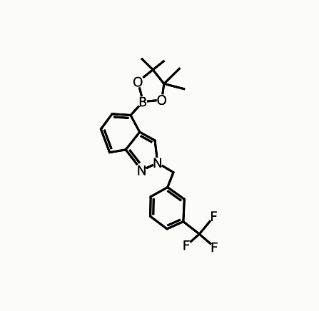 CC1(C)OB(c2cccc3nn(Cc4cccc(C(F)(F)F)c4)cc23)OC1(C)C